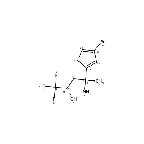 C[C@@](N)(C[C@H](O)C(F)(F)F)c1cc(Br)cs1